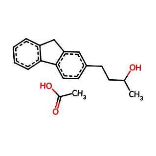 CC(=O)O.CC(O)CCc1ccc2c(c1)Cc1ccccc1-2